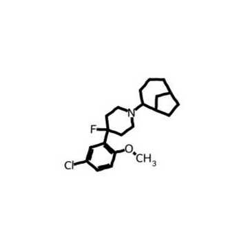 COc1ccc(Cl)cc1C1(F)CCN(C2CCCC3CCC2C3)CC1